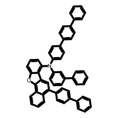 c1ccc(-c2ccc(-c3ccc(N(c4cccc(-c5ccccc5)c4)c4cccc5oc6c7ccccc7c(-c7ccc(-c8ccccc8)cc7)cc6c45)cc3)cc2)cc1